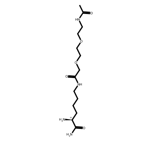 CC(=O)NCCOCCOCC(=O)NCCCC[C@H](N)C(N)=O